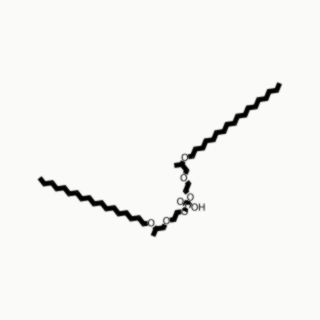 CCCCCCCCCCCCCCCCCCOC(C)COCCOP(=O)(O)OCCOCC(C)OCCCCCCCCCCCCCCCCCC